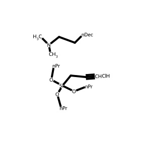 C#CC[Si](OCCC)(OCCC)OCCC.CCCCCCCCCCCCN(C)C.Cl